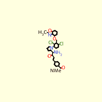 CNC(=O)c1ccc(/C=C/C(=O)C(N)c2cccn2-c2ccc(Cl)c(COc3cccc4oc(C)nc34)c2Cl)cc1